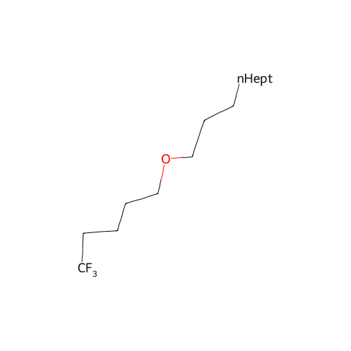 CCCCCCCCCCOCCCCC(F)(F)F